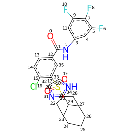 O=C(Nc1cc(F)c(F)c(F)c1)c1ccc(Cl)c(S(=O)(=O)C2CC3CCCC(C2)C3c2ncc[nH]2)c1